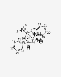 CN(C)C12CNC(=O)C([C@@H](c3ccccc3)C1)[C@H](c1ccccc1)C2